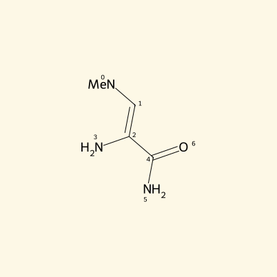 CN/C=C(\N)C(N)=O